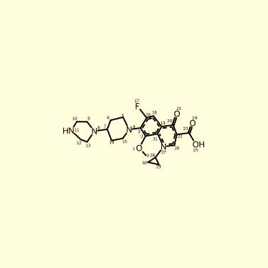 COc1c(N2CCC(N3CCNCC3)CC2)c(F)cc2c(=O)c(C(=O)O)cn(C3CC3)c12